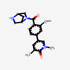 COc1cc(-c2cc(C)c(=O)n(C)c2)ccc1C(=O)N1CC2CC1CN2